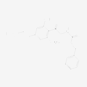 CCOC(=O)COc1cc(O)c(C(=O)CNC(=O)OCc2ccccc2)c(OC)c1